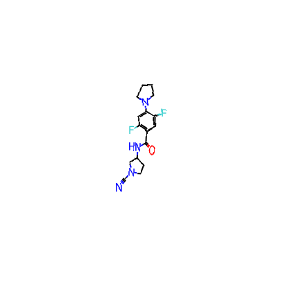 N#CN1CCC(NC(=O)c2cc(F)c(N3CCCC3)cc2F)C1